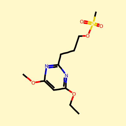 CCOc1cc(OC)nc(CCCOS(C)(=O)=O)n1